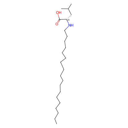 CCCCCCCCCCCCCCCCCCN[C@@H](CC(C)C)C(=O)O